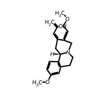 C=C(O)/C=C1/C[C@H]2c3ccc(OC)cc3CCN2C/C1=C/COC